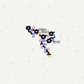 COc1cc(C)c(/N=C\[C@@H]2Cc3ccccc3N2C=O)cc1OCc1cc(COc2cc3c(cc2OC)C(=O)N2c4ccccc4CC2CN3)cc(NC(=O)C(C)NC(=O)CNC(=O)CCC(C)(C)S)c1